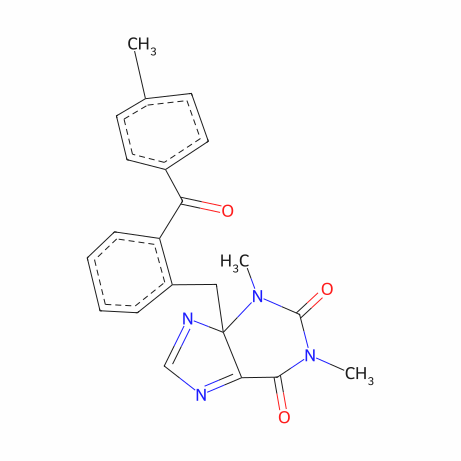 Cc1ccc(C(=O)c2ccccc2CC23N=CN=C2C(=O)N(C)C(=O)N3C)cc1